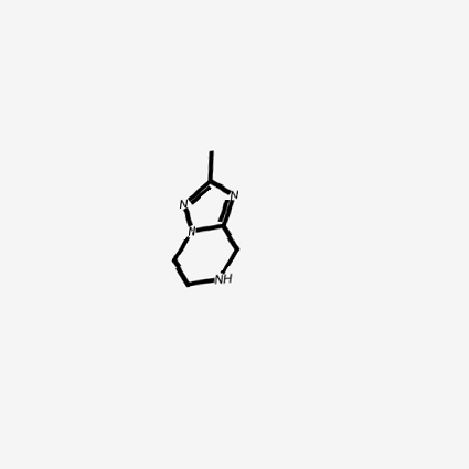 Cc1nc2n(n1)CCNC2